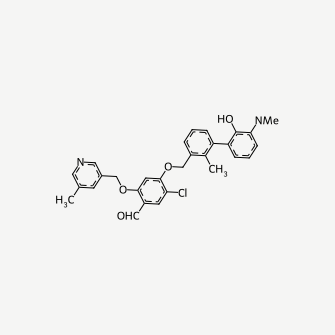 CNc1cccc(-c2cccc(COc3cc(OCc4cncc(C)c4)c(C=O)cc3Cl)c2C)c1O